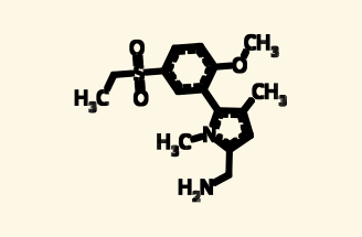 CCS(=O)(=O)c1ccc(OC)c(-c2c(C)cc(CN)n2C)c1